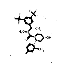 Cc1cc(F)ccc1[C@H]1C[C@@H](O)CCN1C(=O)N(C)[C@@H](C)c1cc(C(F)(F)F)cc(C(F)(F)F)c1